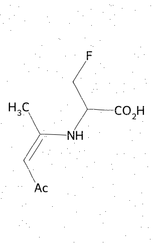 CC(=O)C=C(C)NC(CF)C(=O)O